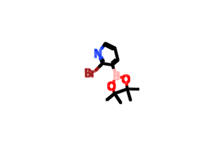 CC1(C)OB(c2cccnc2Br)OC1(C)C